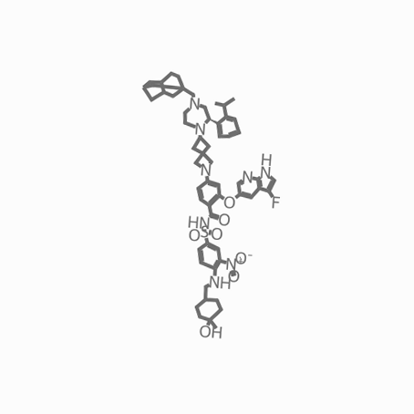 CC(C)c1ccccc1[C@@H]1CN(CC23CCC4CC(CC4C2)C3)CCN1C1CC2(C1)CN(c1ccc(C(=O)NS(=O)(=O)c3ccc(NCC4CCC(C)(O)CC4)c([N+](=O)[O-])c3)c(Oc3cnc4[nH]cc(F)c4c3)c1)C2